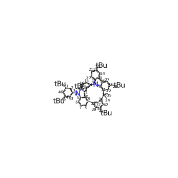 CC(C)(C)c1cc(-n2c3cccc4c3c3c(C(C)(C)C)c(ccc32)-n2c3ccc(C(C)(C)C)cc3c3cc(C(C)(C)C)cc(c32)C(C)(C)c2cc-4cc(C(C)(C)C)c2)cc(C(C)(C)C)c1